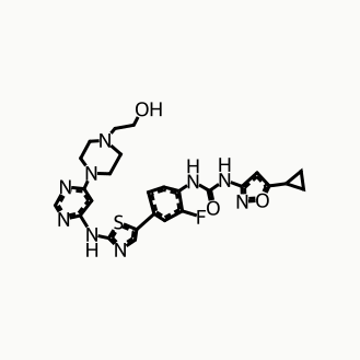 O=C(Nc1cc(C2CC2)on1)Nc1ccc(-c2cnc(Nc3cc(N4CCN(CCO)CC4)ncn3)s2)cc1F